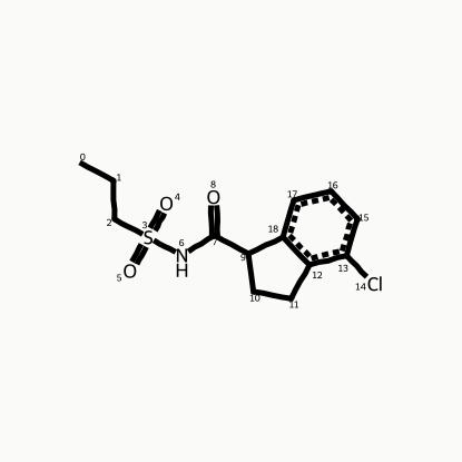 CCCS(=O)(=O)NC(=O)C1CCc2c(Cl)cccc21